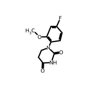 COc1cc(F)ccc1N1CCC(=O)NC1=O